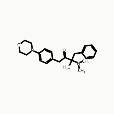 CN(C)C(C)(Cc1ccccc1)C(=O)Cc1ccc(N2CCOCC2)cc1